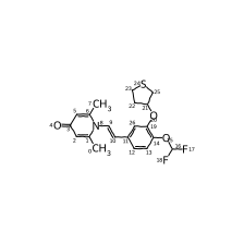 Cc1cc(=O)cc(C)n1/C=C/c1ccc(OC(F)F)c(OC2CCSC2)c1